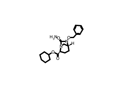 N.O=C(OC1CCCCC1)[C@@H]1CC[C@@H]2CN1C(=O)N2OCc1ccccc1